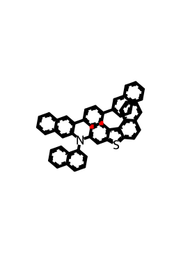 c1ccc2cc(-c3ccc(-c4cc5ccccc5cc4N(c4ccc5c(c4)sc4ccc6ccccc6c45)c4cccc5ccccc45)cc3)ccc2c1